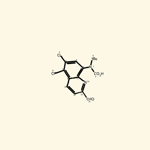 CC(C)(C)N(C(=O)O)c1cc(Cl)c(Cl)c2ccc(C=O)nc12